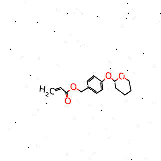 C=CC(=O)OCc1ccc(OC2CCCCO2)cc1